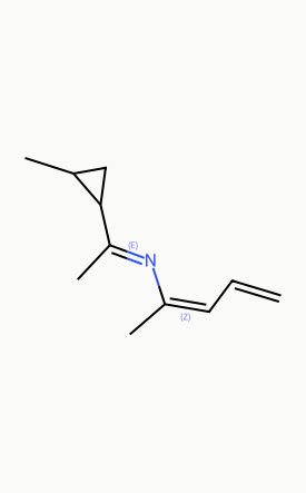 C=C/C=C(C)\N=C(/C)C1CC1C